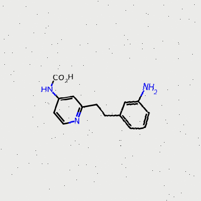 Nc1cccc(CCc2cc(NC(=O)O)ccn2)c1